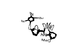 COc1cccc(OC)c1NC(=O)c1ccc(Oc2cc(C(C)(C)C)c(Br)cc2Br)o1